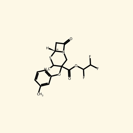 Cc1cccc(OC2(C(=O)OC(F)C(F)F)CN3C(=O)C[C@H]3SC2C)c1